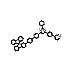 c1ccc(-c2nc(-c3ccc(-c4ccc(-c5ccc6c(c5)C5(c7ccccc7-c7ccccc75)c5ccccc5-6)cc4)cc3)cc(-c3ccc(-c4cccnc4)cc3)n2)cc1